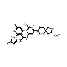 Cc1ccc(C(Oc2cc(N3CCC4(CC3)CN[C@H](C(=O)O)C4)nc(N)n2)C(F)(F)F)c(-n2ccc(C)n2)n1